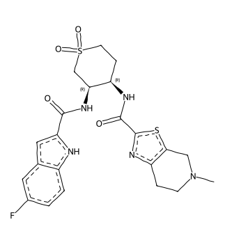 CN1CCc2nc(C(=O)N[C@@H]3CCS(=O)(=O)C[C@@H]3NC(=O)c3cc4cc(F)ccc4[nH]3)sc2C1